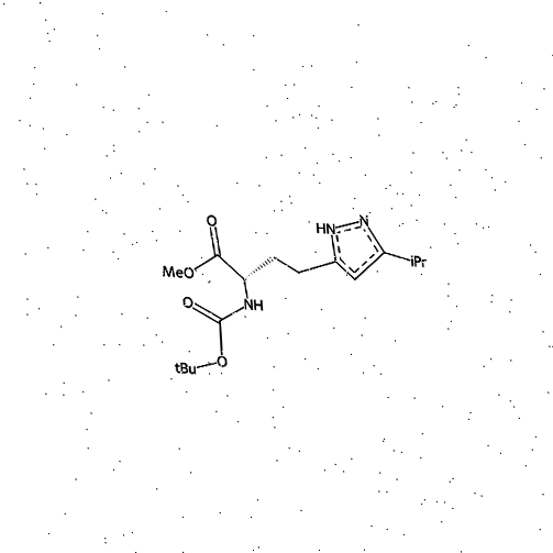 COC(=O)[C@H](CCc1cc(C(C)C)n[nH]1)NC(=O)OC(C)(C)C